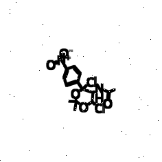 CC(=O)NC1C(Cl)OC(C)(C)OC1(Cl)c1ccc([N+](=O)[O-])cc1